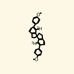 [2H]c1c(-c2ccc(OC)cc2)ccc2c1C1(CC2)CCc2ccc(-c3ccc(OC)cc3)c([2H])c21